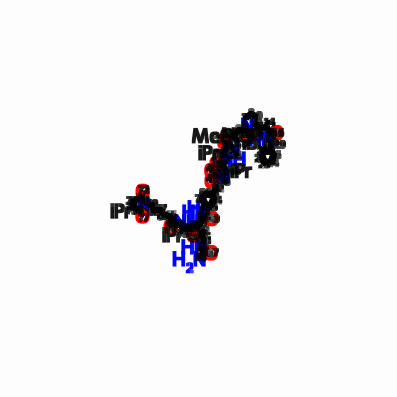 CC[C@H](C)[C@@H]([C@@H](CC(=O)N1CCC[C@H]1[C@H](OC)[C@@H](C)C(=O)N[C@H](C)c1ccccc1)OC)N(C)C(=O)[C@@H](NC(=O)[C@H](C(C)C)N(C)C(=O)OCc1ccc(NC(=O)[C@H](CCCNC(N)=O)NC(=O)[C@@H](NC(=O)CCCCCN2C(=O)CC(C(C)C)C2=O)C(C)C)cc1)C(C)C